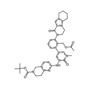 CC(=O)OCc1c(-c2cc(Nc3ccc4c(n3)CCN(C(=O)OC(C)(C)C)C4)c(=O)n(C)c2)cccc1N1CCn2c(cc3c2CCCC3)C1=O